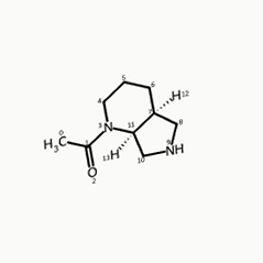 CC(=O)N1CCC[C@H]2CNC[C@H]21